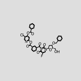 O=C(Oc1cc(OC(=O)c2ccccc2)c(Cl)cn1)c1cccc(C(=O)n2c(=O)c(F)cn([C@H]3C[C@H](OCc4ccccc4)[C@@H](CO)O3)c2=O)c1